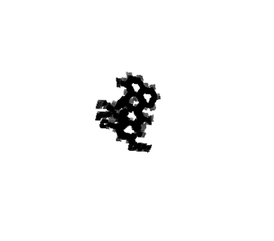 COc1cc(Cl)c2cnc(-c3cccc4ccc(F)c(C#C[Si](C(C)C)(C(C)C)C(C)C)c34)c(F)c2n1